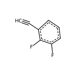 C#Cc1cccc(F)c1F